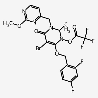 COc1nccc(CN2C(=O)C(Br)=C(OCc3ccc(F)cc3F)N(OC(=O)C(F)(F)F)C2C)n1